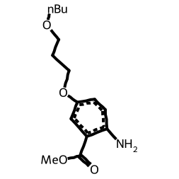 CCCCOCCCOc1ccc(N)c(C(=O)OC)c1